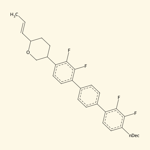 C/C=C/C1CCC(c2ccc(-c3ccc(-c4ccc(CCCCCCCCCC)c(F)c4F)cc3)c(F)c2F)CO1